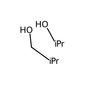 CC(C)CO.CC(C)O